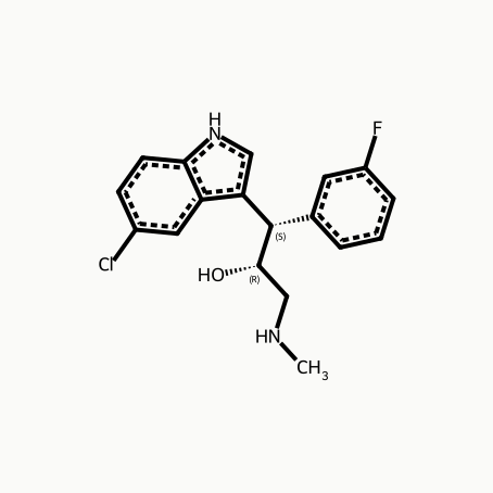 CNC[C@H](O)[C@@H](c1cccc(F)c1)c1c[nH]c2ccc(Cl)cc12